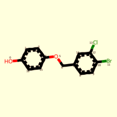 Oc1ccc(OCc2ccc(Br)c(Cl)c2)cc1